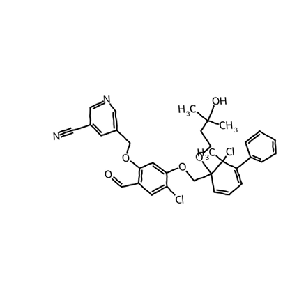 CC(C)(O)CCOC1(COc2cc(OCc3cncc(C#N)c3)c(C=O)cc2Cl)C=CC=C(c2ccccc2)C1(C)Cl